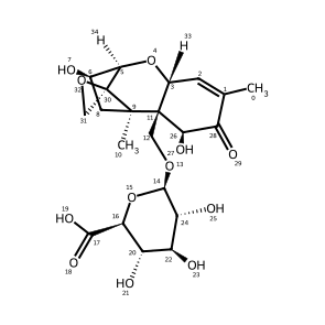 CC1=C[C@H]2O[C@@H]3[C@H](O)C[C@](C)([C@@]2(CO[C@@H]2O[C@H](C(=O)O)[C@@H](O)[C@H](O)[C@H]2O)[C@H](O)C1=O)[C@]31CO1